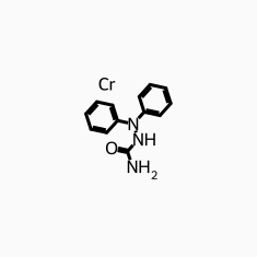 NC(=O)NN(c1ccccc1)c1ccccc1.[Cr]